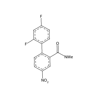 CNC(=O)c1cc([N+](=O)[O-])ccc1-c1ccc(F)cc1F